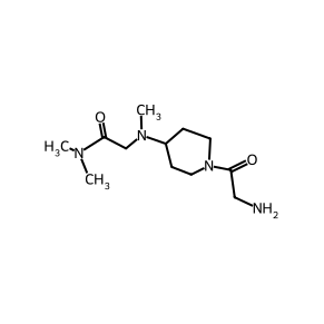 CN(C)C(=O)CN(C)C1CCN(C(=O)CN)CC1